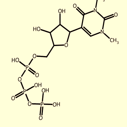 Cn1cc(C2OC(COP(=O)(O)OP(=O)(O)OP(=O)(O)O)C(O)C2O)c(=O)n(C)c1=O